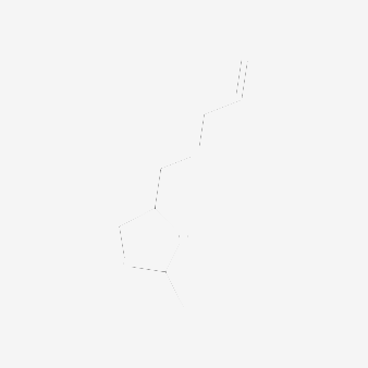 C=CCOCC1CS[C](C)O1